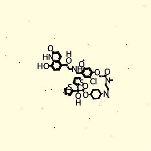 COc1cc(OCC(=O)N(C)CCN(C)[C@H]2CC[C@H](OC(=O)C(O)(c3cccs3)c3cccs3)CC2)c(Cl)cc1CNC[C@H](O)c1ccc(O)c2[nH]c(=O)ccc12